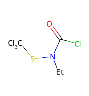 CCN(SC(Cl)(Cl)Cl)C(=O)Cl